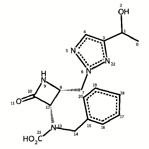 CC(O)c1cnn(C[C@H]2NC(=O)[C@H]2N(Cc2ccccc2)C(=O)O)n1